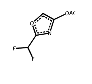 CC(=O)Oc1coc(C(F)F)n1